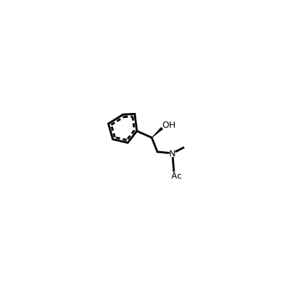 CC(=O)N(C)C[C@H](O)c1ccccc1